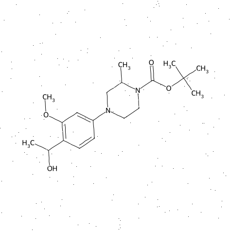 COc1cc(N2CCN(C(=O)OC(C)(C)C)C(C)C2)ccc1C(C)O